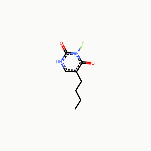 CCCCc1c[nH]c(=O)n(F)c1=O